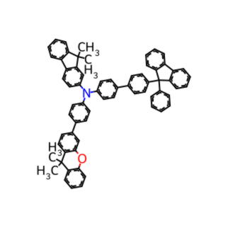 CC1(C)c2ccccc2Oc2cc(-c3ccc(N(c4ccc(-c5ccc(C6(c7ccccc7)c7ccccc7-c7ccccc76)cc5)cc4)c4ccc5c(c4)C(C)(C)c4ccccc4-5)cc3)ccc21